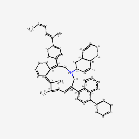 C/C=C\C=C(/CCC)C1=CC=C(\C2=C3/CCC=C/C3=C(C)\C(C)=C\C=C(\c3ccc([C@@H]4CC=CCC4)c4ccccc34)CN(C3C=CC4CCC=CC4C3)C2)CC1